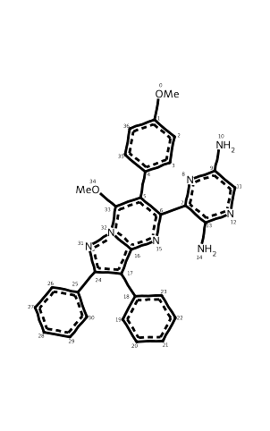 COc1ccc(-c2c(-c3nc(N)cnc3N)nc3c(-c4ccccc4)c(-c4ccccc4)nn3c2OC)cc1